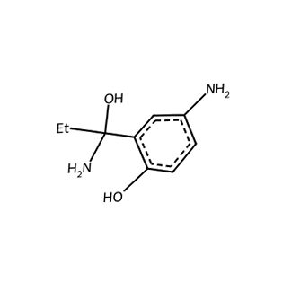 CCC(N)(O)c1cc(N)ccc1O